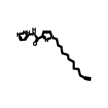 C#CCCCCCCCCCCn1ccc(C(=O)Nc2ccn[nH]2)n1